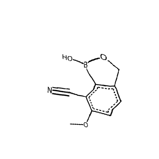 COc1ccc2c(c1C#N)B(O)OC2